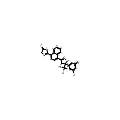 O=C1CN=C(c2ccc(C3=NOC(c4cc(Cl)cc(Cl)c4)(C(F)(F)F)C3)c3ccccc23)O1